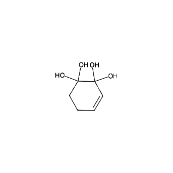 OC1(O)C=CCCC1(O)O